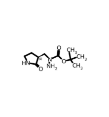 CC(C)(C)OC(=O)N(N)C[C@@H]1CCNC1=O